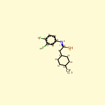 Fc1ccc(/N=C(/S)CC2CCC(C(F)(F)F)CC2)cc1F